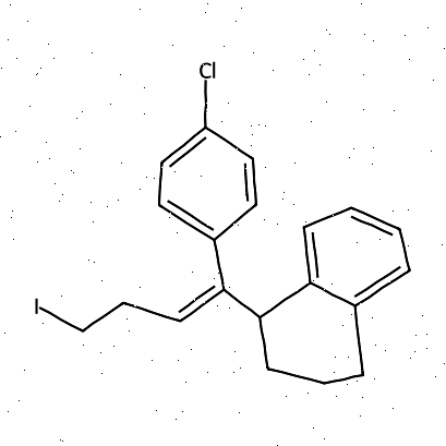 Clc1ccc(C(=CCCI)C2CCCc3ccccc32)cc1